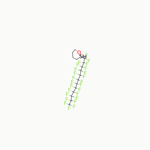 FC(F)(F)C(F)(F)C(F)(F)C(F)(F)C(F)(F)C(F)(F)C(F)(F)C(F)(F)C(F)(F)C(F)(F)C(F)(F)C(F)(F)[SiH]1CCCCO1